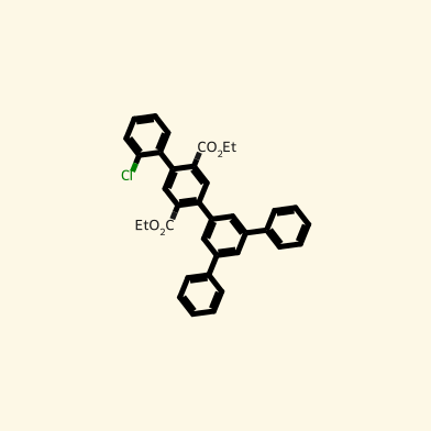 CCOC(=O)c1cc(-c2ccccc2Cl)c(C(=O)OCC)cc1-c1cc(-c2ccccc2)cc(-c2ccccc2)c1